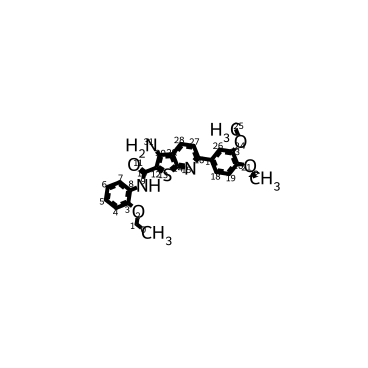 CCOc1ccccc1NC(=O)c1sc2nc(-c3ccc(OC)c(OC)c3)ccc2c1N